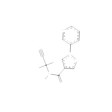 CN(C(=O)c1cnn(-c2cccnc2)c1)C(C)(C)C#N